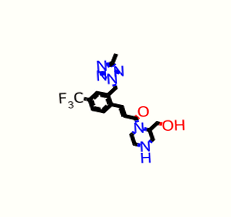 Cc1nnn(Cc2cc(C(F)(F)F)ccc2/C=C/C(=O)N2CCNCC2CO)n1